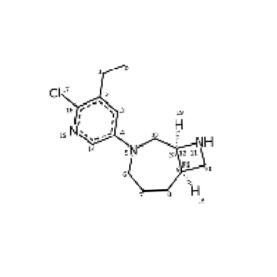 CCc1cc(N2CCC[C@@H]3CN[C@@H]3C2)cnc1Cl